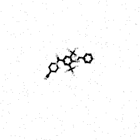 N#CC1CCN(C(=O)c2cc(C(F)(F)F)c(NCc3ccccc3)c(C(F)(F)F)c2)CC1